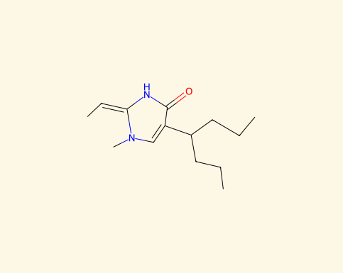 C/C=C1/NC(=O)C(C(CCC)CCC)=CN1C